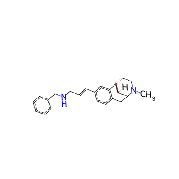 CN1CC[C@@]23CCCC[C@@H]2C1Cc1ccc(/C=C/CNCc2ccccc2)cc13